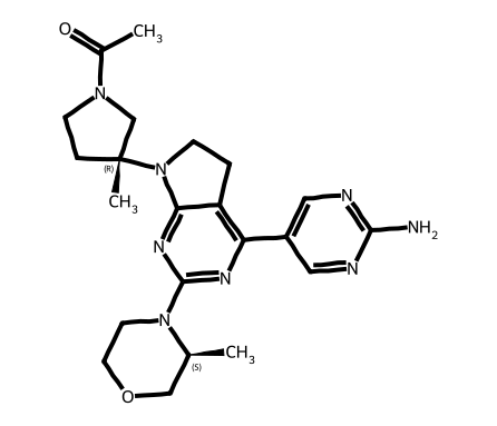 CC(=O)N1CC[C@@](C)(N2CCc3c(-c4cnc(N)nc4)nc(N4CCOC[C@@H]4C)nc32)C1